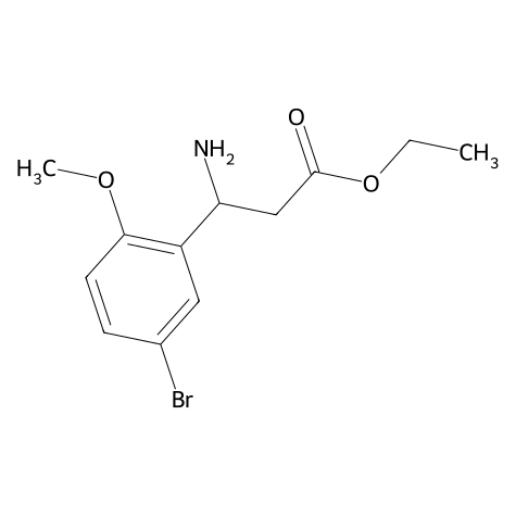 CCOC(=O)CC(N)c1cc(Br)ccc1OC